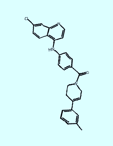 Cc1cccc(C2=CCN(C(=O)c3ccc(Nc4ccnc5cc(Cl)ccc45)cc3)CC2)c1